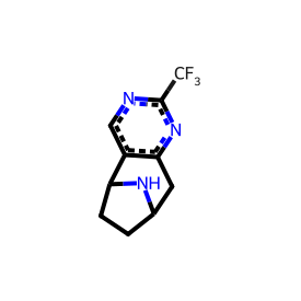 FC(F)(F)c1ncc2c(n1)CC1CCC2N1